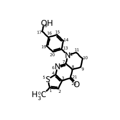 Cc1cc2c(s1)N=C1C(CCCN1c1ccc(CO)cc1)C2=O